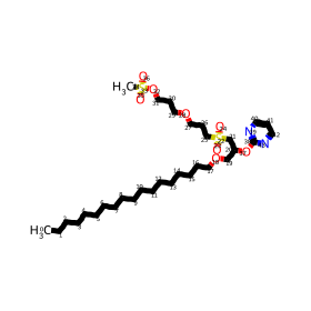 CCCCCCCCCCCCCCCCCCOCC(CS(=O)(=O)CCCOCCCOS(C)(=O)=O)Oc1ncccn1